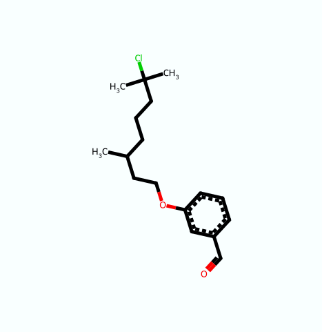 CC(CCCC(C)(C)Cl)CCOc1cccc(C=O)c1